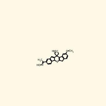 CCC1(CC)C2=Cc3cc(C(C)=NO)ccc3C2SC2=C1c1cc(OC)ccc1C2